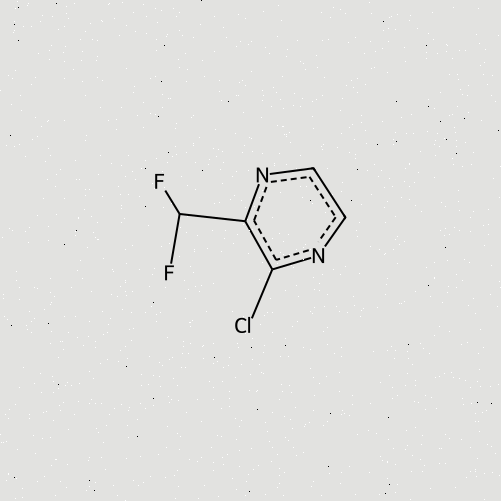 FC(F)c1nccnc1Cl